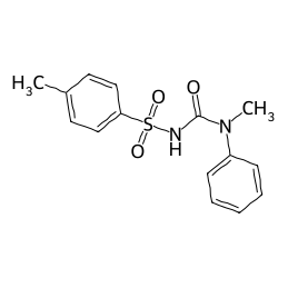 Cc1ccc(S(=O)(=O)NC(=O)N(C)c2ccccc2)cc1